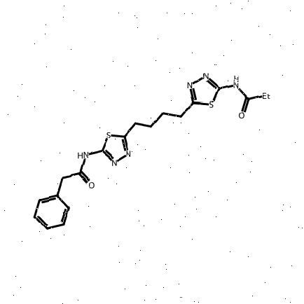 CCC(=O)Nc1nnc(CCCCc2nnc(NC(=O)Cc3ccccc3)s2)s1